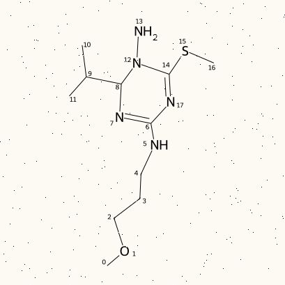 COCCCNC1=NC(C(C)C)N(N)C(SC)=N1